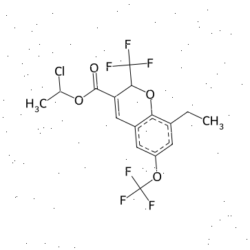 CCc1cc(OC(F)(F)F)cc2c1OC(C(F)(F)F)C(C(=O)OC(C)Cl)=C2